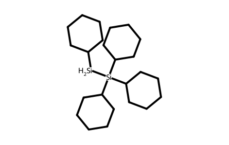 C1CCC([SiH2][Si](C2CCCCC2)(C2CCCCC2)C2CCCCC2)CC1